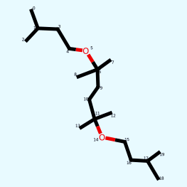 CC(C)CCOC(C)(C)CCC(C)(C)OCCC(C)C